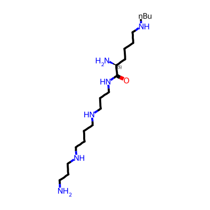 CCCCNCCCC[C@H](N)C(=O)NCCCNCCCCNCCCN